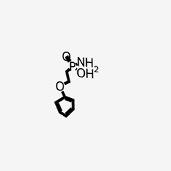 NP(=O)(O)CCOc1ccccc1